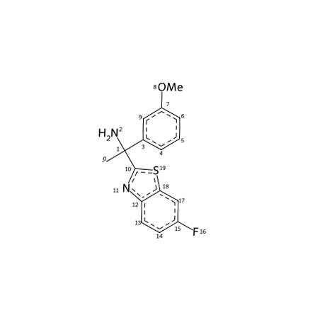 [CH2]C(N)(c1cccc(OC)c1)c1nc2ccc(F)cc2s1